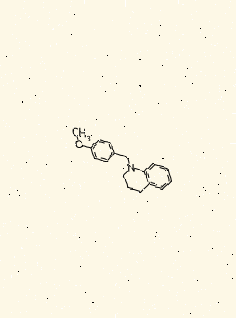 COc1ccc(CN2CCCc3ccccc32)cc1